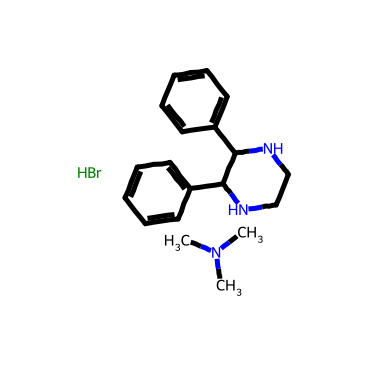 Br.CN(C)C.c1ccc(C2NCCNC2c2ccccc2)cc1